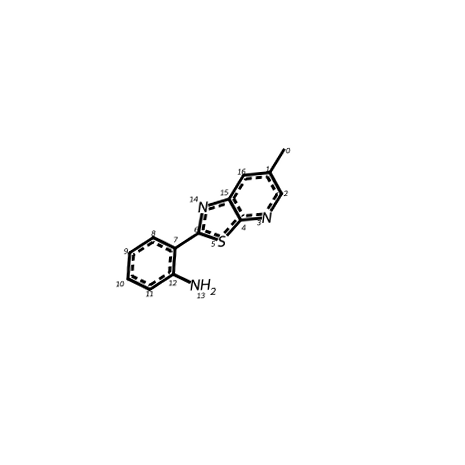 Cc1cnc2sc(-c3ccccc3N)nc2c1